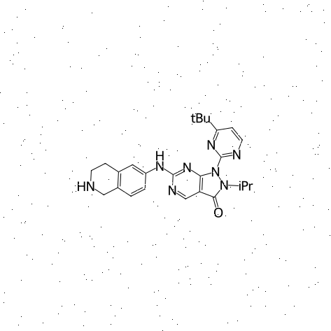 CC(C)n1c(=O)c2cnc(Nc3ccc4c(c3)CCNC4)nc2n1-c1nccc(C(C)(C)C)n1